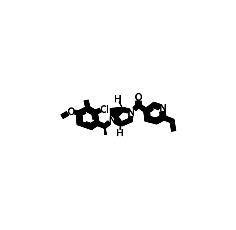 CCc1ccc(C(=O)N2C[C@@H]3C[C@H]2CN3[C@@H](C)c2ccc(OC)c(C)c2Cl)cn1